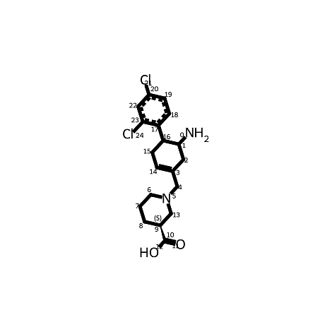 NC1CC(CN2CCC[C@H](C(=O)O)C2)=CCC1c1ccc(Cl)cc1Cl